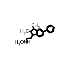 CNCCC1c2ccc(-c3ccccc3)cc2C(C)[C@H]1C